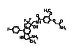 COc1cc(C(=O)NCC(O)(c2cc3c(c(-c4ccc(F)cc4)n2)NC[C@@]3(C)N)C(F)(F)F)ccc1OCC(N)=O